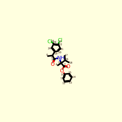 CC(C(=O)NC(C)(C(=O)Oc1ccccc1)C(C)C)c1ccc(Cl)c(Cl)c1